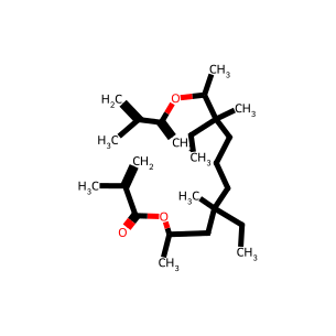 C=C(C)C(=C)OC(C)C(C)(CC)CCCC(C)(CC)CC(C)OC(=O)C(=C)C